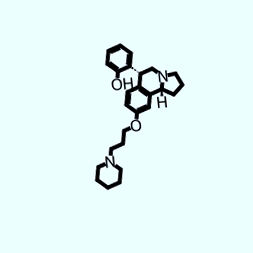 Oc1ccccc1[C@@H]1CN2CCC[C@@H]2c2cc(OCCCN3CCCCC3)ccc21